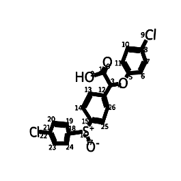 O=C(O)C(Oc1ccc(Cl)cc1)c1ccc([S+]([O-])c2ccc(Cl)cc2)cc1